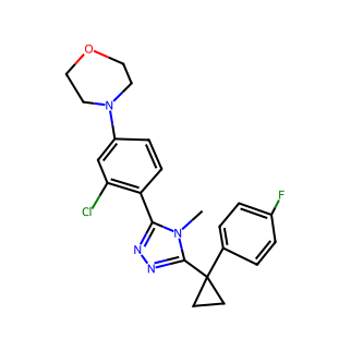 Cn1c(-c2ccc(N3CCOCC3)cc2Cl)nnc1C1(c2ccc(F)cc2)CC1